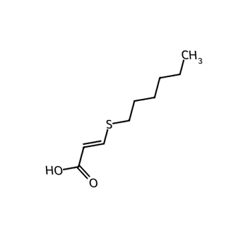 CCCCCCS/C=C/C(=O)O